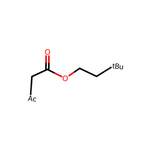 CC(=O)CC(=O)OCCC(C)(C)C